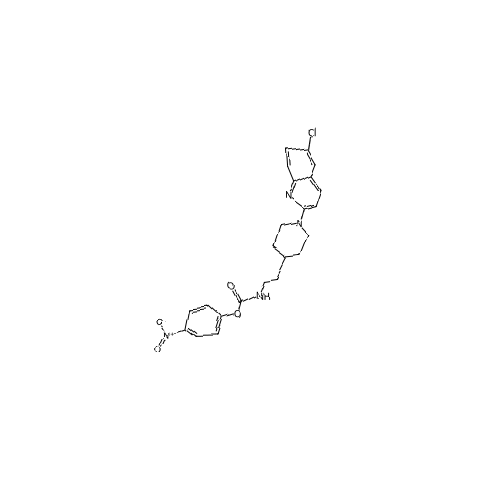 O=C(NCCC1CCN(c2ccc3cc(Cl)ccc3n2)CC1)Oc1ccc([N+](=O)[O-])cc1